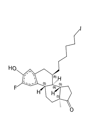 C[C@]12CC[C@@H]3c4cc(F)c(O)cc4C[C@@H](CCCCCCI)[C@H]3[C@@H]1CCC2=O